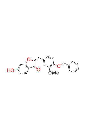 COc1cc(C=C2Oc3cc(O)ccc3C2=O)ccc1OCc1ccccc1